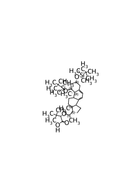 C[C@H](OC(C(=O)O)C(C)(C)C)[C@H]1CCC2C3=CC=C4C[C@@H](O[Si](C)(C)C(C)(C)C)C[C@H](O[Si](C)(C)C(C)(C)C)[C@]4(C)C3CC[C@@]21C